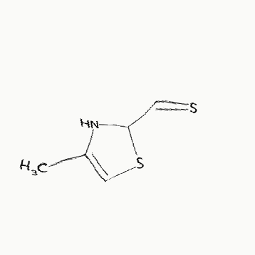 CC1=CSC(C=S)N1